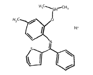 Cc1ccc(N=C(c2ccccc2)c2cccs2)c(O[SiH](C)C)c1.[H+]